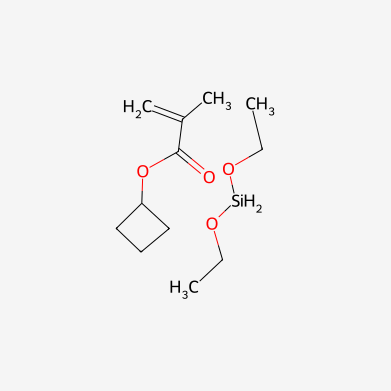 C=C(C)C(=O)OC1CCC1.CCO[SiH2]OCC